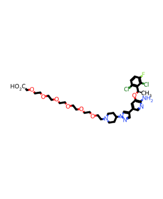 C[C@@H](Oc1cc(-c2cnn(C3CCN(CCOCCOCCOCCOCCOCCOCC(=O)O)CC3)c2)cnc1N)c1c(Cl)ccc(F)c1Cl